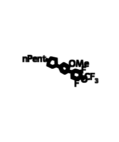 CCCCCC1CCC(c2ccc(-c3cc(F)c(OC(F)(F)F)c(F)c3)c(OC)c2)CC1